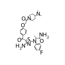 CC(C(N)=O)N(c1ccc(F)cc1)c1nc(N)c(C(=O)c2ccc(OCC(=O)N3CCC(N(C)C)CC3)cc2)s1